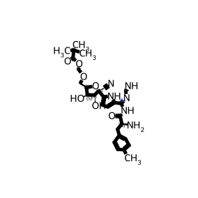 Cc1ccc(C[C@H](N)C(=O)N/C(=N/C=N)c2ccc([C@]3(C#N)O[C@H](COCOC(=O)C(C)(C)C)[C@@H](O)[C@H]3O)[nH]2)cc1